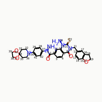 NN(C(=O)c1ccc2c(=O)n(Cc3ccc4c(c3)CCO4)c(=S)n(N)c2c1)c1ccc(N2CCC3(CC2)OCCO3)cc1